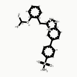 NS(=O)(=O)c1ccc(-c2ccc3nnc(Cc4ccccc4OC(F)F)n3c2)cc1